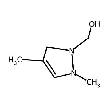 CC1=CN(C)N(CO)C1